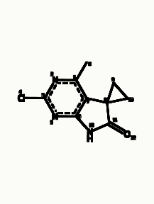 Cc1nc(Cl)nc2c1C1(CC1)C(=O)N2